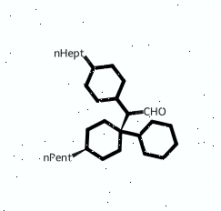 CCCCCCCC1CCC(C(C=O)[C@]2(C3CCCCC3)CC[C@H](CCCCC)CC2)CC1